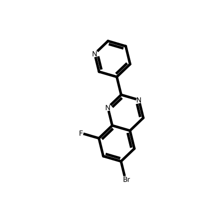 Fc1cc(Br)cc2cnc(-c3cccnc3)nc12